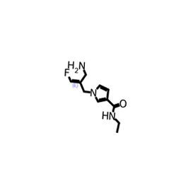 CCNC(=O)c1ccn(C/C(=C/F)CN)c1